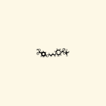 COC(=O)c1ccc(OCCCCN2CCCN(C(=O)OC(C)(C)C)CC2)cc1